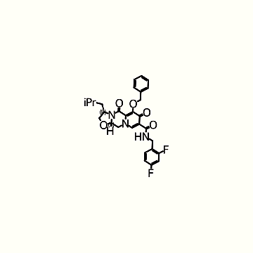 CC(C)C[C@@H]1CO[C@H]2Cn3cc(C(=O)NCc4ccc(F)cc4F)c(=O)c(OCc4ccccc4)c3C(=O)N12